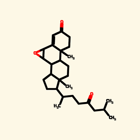 CC(C)CC(=O)CCC(C)C1CCC2C3C4OC4C4=CC(=O)CCC4(C)C3CCC12C